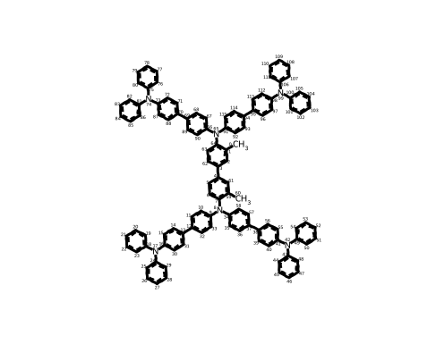 Cc1cc(-c2ccc(N(c3ccc(-c4ccc(N(c5ccccc5)c5ccccc5)cc4)cc3)c3ccc(-c4ccc(N(c5ccccc5)c5ccccc5)cc4)cc3)c(C)c2)ccc1N(c1ccc(-c2ccc(N(c3ccccc3)c3ccccc3)cc2)cc1)c1ccc(-c2ccc(N(c3ccccc3)c3ccccc3)cc2)cc1